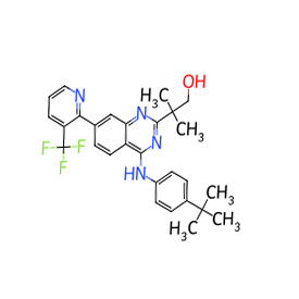 CC(C)(C)c1ccc(Nc2nc(C(C)(C)CO)nc3cc(-c4ncccc4C(F)(F)F)ccc23)cc1